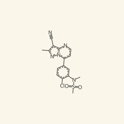 Cc1nn2c(-c3ccc(Cl)c(N(C)S(C)(=O)=O)c3)ccnc2c1C#N